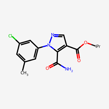 Cc1cc(Cl)cc(-n2ncc(C(=O)OC(C)C)c2C(N)=O)c1